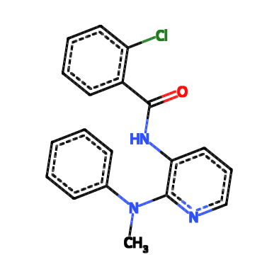 CN(c1ccccc1)c1ncccc1NC(=O)c1ccccc1Cl